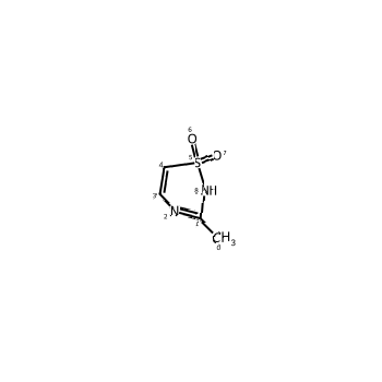 CC1=NC=CS(=O)(=O)N1